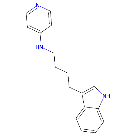 c1ccc2c(CCCCNc3ccncc3)c[nH]c2c1